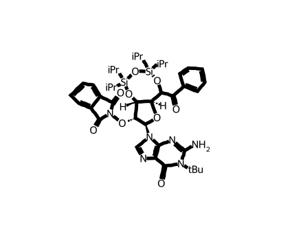 CC(C)[Si]1(C(C)C)OC(C(=O)c2ccccc2)[C@H]2O[C@@H](n3cnc4c(=O)n(C(C)(C)C)c(N)nc43)[C@H](ON3C(=O)c4ccccc4C3=O)[C@@H]2O[Si](C(C)C)(C(C)C)O1